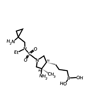 CCN(CC1(N)CC1)S(=O)(=O)N1C[C@H](CCCB(O)O)[C@@](C)(N)C1